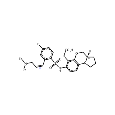 CCN(CC)C/C=C\c1cc(F)ccc1S(=O)(=O)Nc1ccc2c(c1OC(=O)O)OC[C@@H]1CCCN21